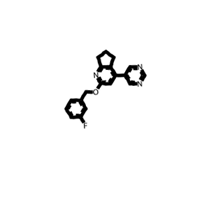 Fc1cccc(COc2cc(-c3cncnc3)c3c(n2)CCC3)c1